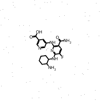 NC(=O)c1cc(F)c(NC2CCCCC2N)nc1Nc1cncc(C(=O)O)c1